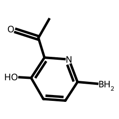 Bc1ccc(O)c(C(C)=O)n1